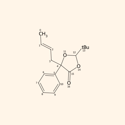 CC=CCC1(c2ccccc2)OC(C(C)(C)C)OC1=O